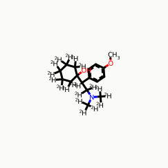 [2H]C([2H])([2H])N(C([2H])([2H])[2H])C([2H])([2H])[C@]([2H])(c1ccc(OC)cc1)C1(O)C([2H])([2H])C([2H])([2H])C([2H])([2H])C([2H])([2H])C1([2H])[2H]